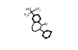 CC(=O)N1c2ccc(C(O)(C(F)(F)F)C(F)(F)F)cc2CCCC1c1ccccc1